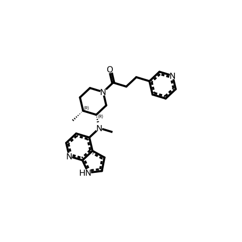 C[C@@H]1CCN(C(=O)CCc2cccnc2)C[C@@H]1N(C)c1ccnc2[nH]ccc12